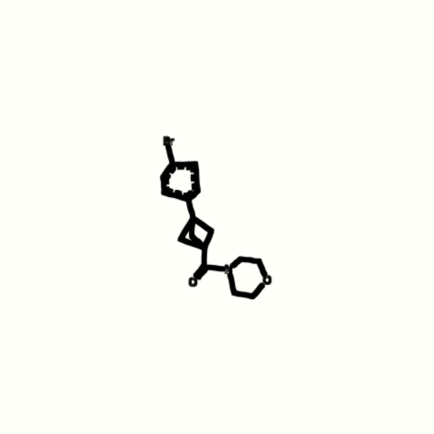 O=C(N1CCOCC1)C12CC(c3ccc(Br)cc3)(C1)C2